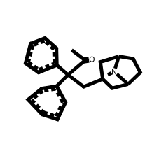 CC(=O)C(CC1CC2CCC(C1)N2C)(c1ccccc1)c1ccccc1